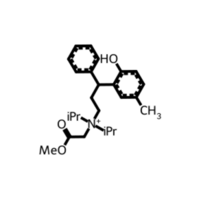 COC(=O)C[N+](CCC(c1ccccc1)c1cc(C)ccc1O)(C(C)C)C(C)C